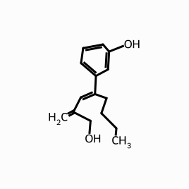 C=C(/C=C(\CCCC)c1cccc(O)c1)CO